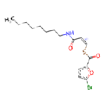 CCCCCCCCNC(=O)/C=C\SC(=O)c1ccc(Br)o1